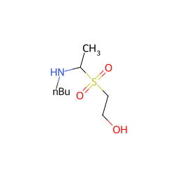 CCCCNC(C)S(=O)(=O)CCO